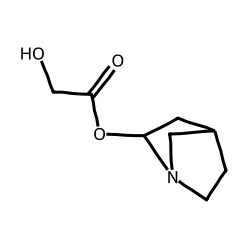 O=C(CO)OC1CC2CCN1C2